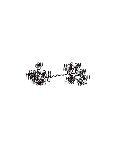 O=C(NCCCCCCCCCNC(=O)[C@H](OS(=O)(=O)O)[C@@H](OS(=O)(=O)O)[C@H](O[C@@H]1O[C@H](COS(=O)(=O)O)[C@H](OS(=O)(=O)O)[C@H](OS(=O)(=O)O)[C@H]1OS(=O)(=O)O)[C@@H](COS(=O)(=O)O)OS(=O)(=O)O)[C@H](OS(=O)(=O)O)[C@@H](OS(=O)(=O)O)[C@H](O[C@@H]1O[C@H](COS(=O)(=O)O)[C@H](OS(=O)(=O)O)[C@H](OS(=O)(=O)O)[C@H]1OS(=O)(=O)O)[C@@H](COS(=O)(=O)O)OS(=O)(=O)O